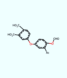 CC(=O)c1cc(Oc2ccc(C(=O)O)c(C(=O)O)c2)ccc1OC=O